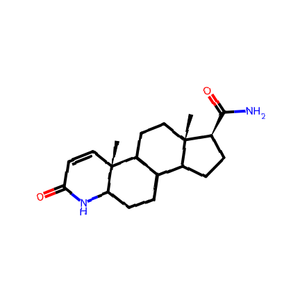 C[C@]12C=CC(=O)NC1CCC1C2CC[C@@]2(C)C1CC[C@@H]2C(N)=O